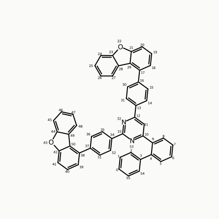 c1ccc(-c2ccccc2-c2cc(-c3ccc(-c4cccc5oc6ccccc6c45)cc3)nc(-c3ccc(-c4cccc5oc6ccccc6c45)cc3)n2)cc1